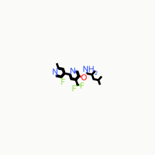 Cc1cc(-c2cc(C(F)F)c(OC(N)C(C)CC(C)C)cn2)c(F)cn1